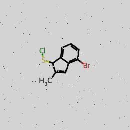 CC1=Cc2c(Br)cccc2C1SCl